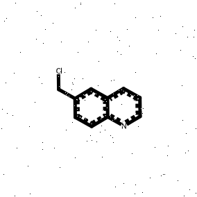 ClCc1ccc2ncccc2c1